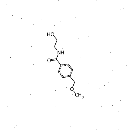 COCc1ccc(C(=O)NCCO)cc1